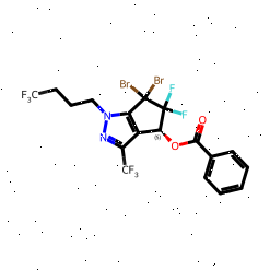 O=C(O[C@H]1c2c(C(F)(F)F)nn(CCCC(F)(F)F)c2C(Br)(Br)C1(F)F)c1ccccc1